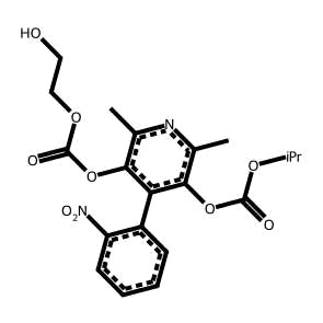 Cc1nc(C)c(OC(=O)OC(C)C)c(-c2ccccc2[N+](=O)[O-])c1OC(=O)OCCO